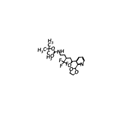 CC(C)(C)OC(=O)NCCC(CC(=O)c1cccnc1C1OCCO1)C(F)(F)F